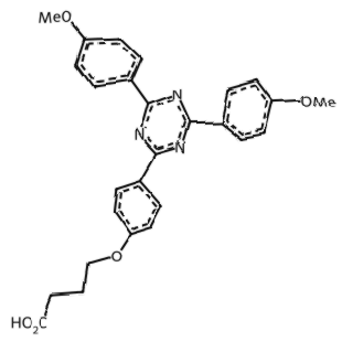 COc1ccc(-c2nc(-c3ccc(OC)cc3)nc(-c3ccc(OCCCC(=O)O)cc3)n2)cc1